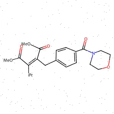 COC(=O)/C(Cc1ccc(C(=O)N2CCOCC2)cc1)=C(\C(=O)OC)C(C)C